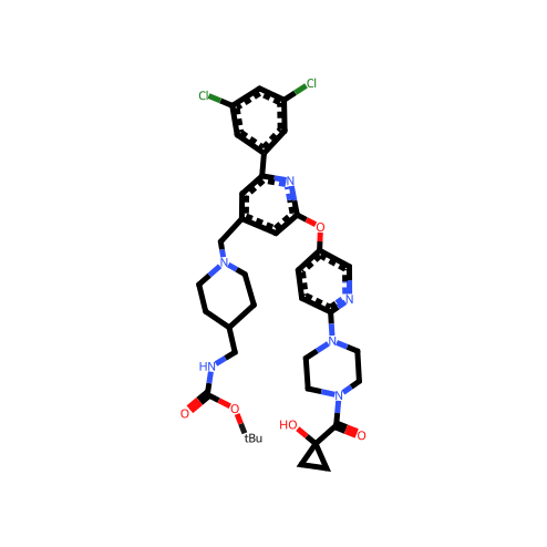 CC(C)(C)OC(=O)NCC1CCN(Cc2cc(Oc3ccc(N4CCN(C(=O)C5(O)CC5)CC4)nc3)nc(-c3cc(Cl)cc(Cl)c3)c2)CC1